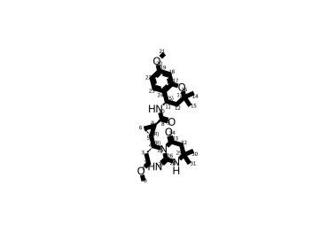 COCC[C@H]([C@@H]1C[C@H]1C(=O)N[C@H]1CC(C)(C)Oc2cc(OC)ccc21)N1C(=N)NC(C)(C)CC1=O